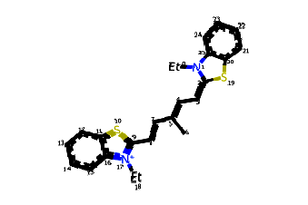 CCN1\C(=C/C=C(C)/C=C/c2sc3ccccc3[n+]2CC)Sc2ccccc21